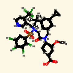 COc1cc(C(=O)O)ccc1N(Cc1cc(C2CC2)cc(C(C)(C)C)c1)C(=O)CN(Cc1cnccc1C(F)(F)F)S(=O)(=O)c1cc(F)c(F)c(F)c1F